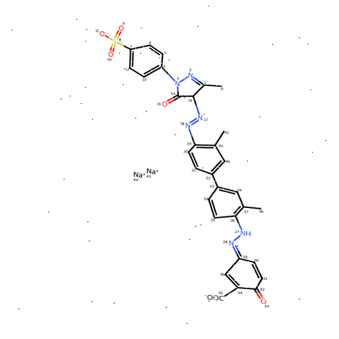 CC1=NN(c2ccc(S(=O)(=O)[O-])cc2)C(=O)C1N=Nc1ccc(-c2ccc(N/N=C3\C=CC(=O)C(C(=O)[O-])=C3)c(C)c2)cc1C.[Na+].[Na+]